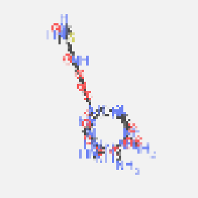 NCCCC[C@@H]1NC(=O)[C@H](CCC(N)=O)NC(=O)CCc2cn(nn2)CCCC[C@@H](C(=O)NCCCOCCOCCOCCCNC(=O)CCCC[C@H]2SC[C@H]3NC(=O)N[C@H]32)NC(=O)C2CCCN2C(=O)CNC(=O)[C@H](Cc2c[nH]cn2)NC1=O